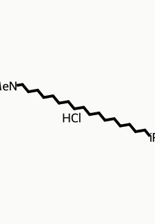 CNCCCCCCCCCCCCCCCCCC(C)C.Cl